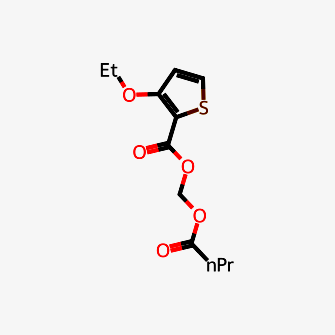 CCCC(=O)OCOC(=O)c1sccc1OCC